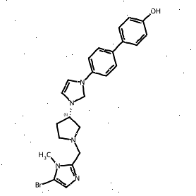 Cn1c(Br)cnc1CN1CC[C@H](N2C=CN(c3ccc(-c4ccc(O)cc4)cc3)C2)C1